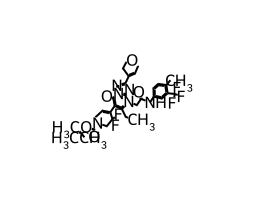 CCc1c(C2=CCN(C(=O)OC(C)(C)C)CC2(F)F)c(=O)n2nc(C3=CCOCC3)nc2n1CC(=O)Nc1ccc(C)c(C(F)(F)F)c1